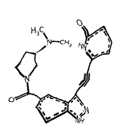 CN(C)[C@@H]1CCN(C(=O)c2ccc3[nH]nc(C#Cc4cccc(=O)[nH]4)c3c2)C1